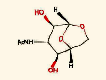 CC(=O)N[C@@H]1[C@@H](O)[C@@H]2OC[C@@H](O2)[C@H]1O